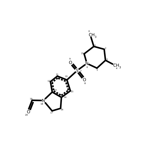 CC1CC(C)CN(S(=O)(=O)c2ccc3c(c2)CCN3C=O)C1